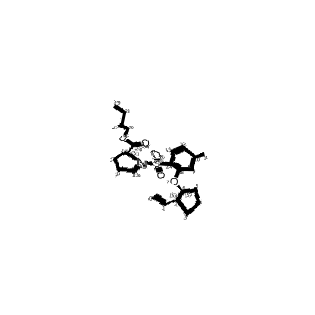 C=C[C@@H]1CCC[C@@H]1Oc1cc(C)ccc1S(=O)(=O)N1CCC[C@H]1C(=O)OCCCC